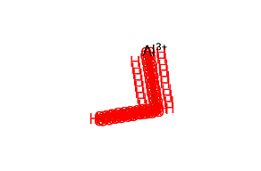 O=S(=O)(O)O.O=S(=O)(O)O.O=S(=O)(O)O.O=S(=O)(O)O.O=S(=O)(O)O.O=S(=O)(O)O.O=S(=O)(O)O.O=S(=O)(O)O.O=S(=O)(O)O.O=S(=O)(O)O.O=S(=O)(O)O.O=S(=O)(O)O.O=S(=O)(O)O.O=S(=O)(O)O.O=S(=O)(O)O.O=S(=O)(O)O.O=S(=O)(O)O.O=S(=O)([O-])O.O=S(=O)([O-])[O-].[Al+3]